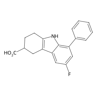 O=C(O)C1CCc2[nH]c3c(-c4ccccc4)cc(F)cc3c2C1